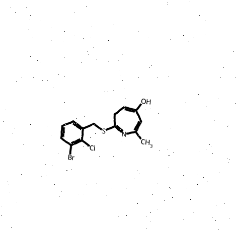 CC1=CC(O)=CCC(SCc2cccc(Br)c2Cl)=N1